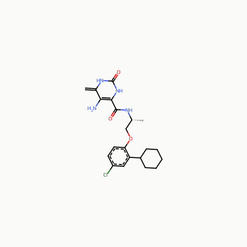 C=C1NC(=O)NC(C(=O)N[C@H](C)COc2ccc(Cl)cc2C2CCCCC2)=C1N